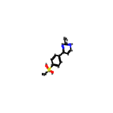 CS(=O)(=O)c1ccc(-c2ccnc(C(F)(F)F)n2)cc1